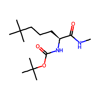 CNC(=O)[C@H](CCCC(C)(C)C)NC(=O)OC(C)(C)C